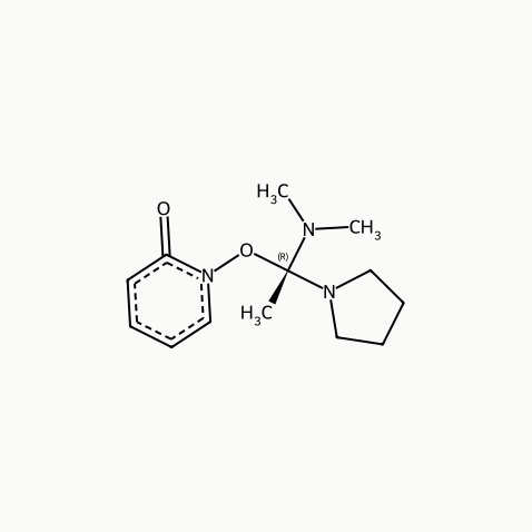 CN(C)[C@@](C)(On1ccccc1=O)N1CCCC1